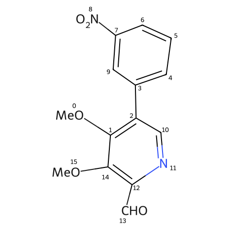 COc1c(-c2cccc([N+](=O)[O-])c2)cnc(C=O)c1OC